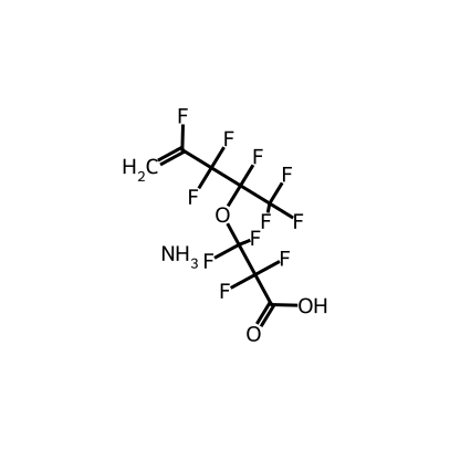 C=C(F)C(F)(F)C(F)(OC(F)(F)C(F)(F)C(=O)O)C(F)(F)F.N